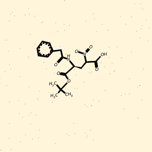 CC(C)(C)OC(=O)[C@H](CC(C(=O)O)[N+](=O)[O-])NC(=O)Cc1ccccc1